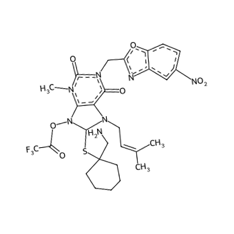 CC(C)=CCN1c2c(n(C)c(=O)n(Cc3nc4cc([N+](=O)[O-])ccc4o3)c2=O)N(OC(=O)C(F)(F)F)C1SC1(CN)CCCCC1